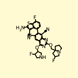 N#Cc1c(-c2ccc(F)c3sc(N)c(C#N)c23)c(Cl)cc2c(OC3CNCC3F)nc(OCC34CCCN3CC(F)C4)nc12